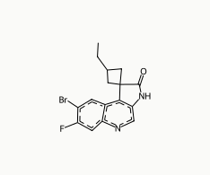 CCC1CC2(C1)C(=O)Nc1cnc3cc(F)c(Br)cc3c12